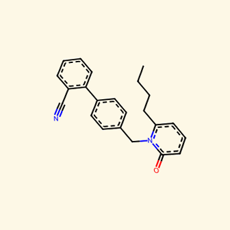 CCCCc1cccc(=O)n1Cc1ccc(-c2ccccc2C#N)cc1